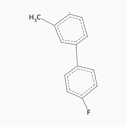 Cc1[c]ccc(-c2ccc(F)cc2)c1